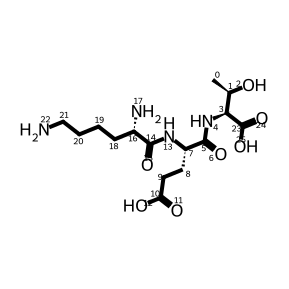 C[C@@H](O)[C@H](NC(=O)[C@H](CCC(=O)O)NC(=O)[C@@H](N)CCCCN)C(=O)O